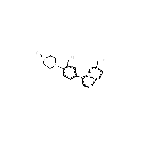 CCN1CCN(c2ccc(-c3cnc4ccc(C=O)nn34)cc2C)CC1